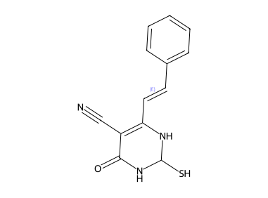 N#CC1=C(/C=C/c2ccccc2)NC(S)NC1=O